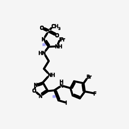 CC(C)N/C(=N\S(C)(=O)=O)NCCNc1nonc1/C(=C/I)Nc1ccc(F)c(Br)c1